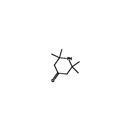 CC1(C)CC(=O)CC(C)(C)P1